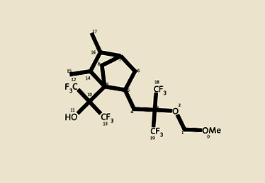 COCOC(CC1CC2CC1(C(O)(C(F)(F)F)C(F)(F)F)C(C)C2C)(C(F)(F)F)C(F)(F)F